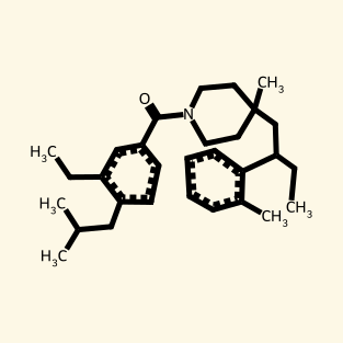 CCc1cc(C(=O)N2CCC(C)(CC(CC)c3ccccc3C)CC2)ccc1CC(C)C